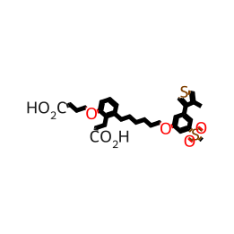 Cc1cscc1-c1cc(OCCCCCCc2cccc(OCCCC(=O)O)c2CCC(=O)O)cc(S(C)(=O)=O)c1